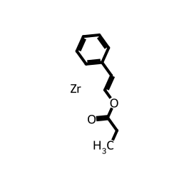 CCC(=O)OC=Cc1ccccc1.[Zr]